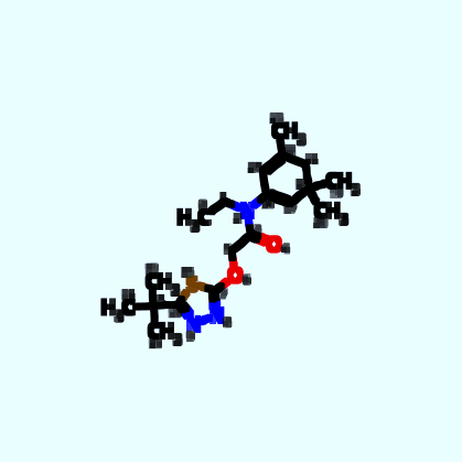 CCN(C(=O)COc1nnc(C(C)(C)C)s1)C1=CC(C)(C)CC(C)=C1